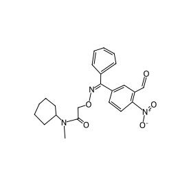 CN(C(=O)CO/N=C(/c1ccccc1)c1ccc([N+](=O)[O-])c(C=O)c1)C1CCCCC1